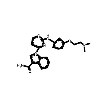 CN(C)CCOc1cccc(Nc2nccc(-n3cc(C(N)=O)c4ccccc43)n2)c1